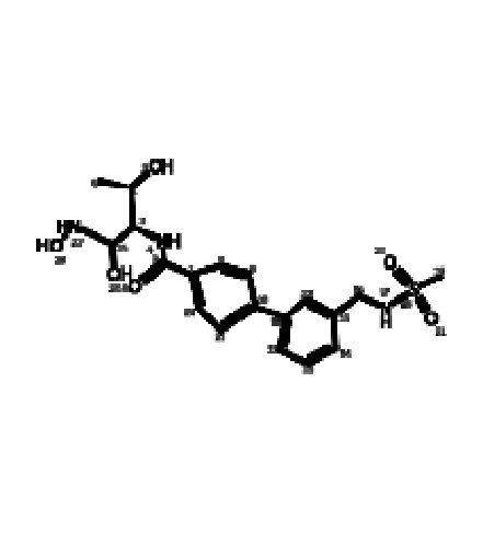 C[C@@H](O)[C@@H](NC(=O)c1ccc(-c2cccc(CNS(C)(=O)=O)c2)cc1)C(O)NO